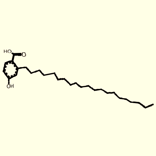 CCCCCCCCCCCCCCCCCCCCCc1cc(O)ccc1C(=O)O